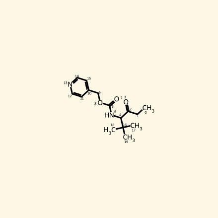 CCC(=O)C(NC(=O)OCc1ccncc1)C(C)(C)C